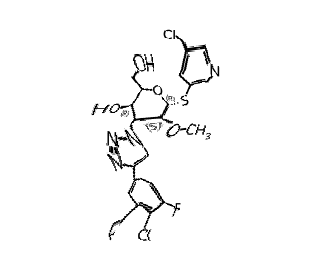 CO[C@H]1C(n2cc(-c3cc(F)c(Cl)c(F)c3)nn2)[C@@H](O)C(CO)O[C@@H]1Sc1cncc(Cl)c1